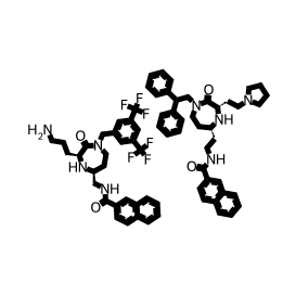 NCCC[C@@H]1N[C@H](CNC(=O)c2ccc3ccccc3c2)CCN(Cc2cc(C(F)(F)F)cc(C(F)(F)F)c2)C1=O.O=C(NCC[C@@H]1CCN(CC(c2ccccc2)c2ccccc2)C(=O)[C@H](CCN2CCCC2)N1)c1ccc2ccccc2c1